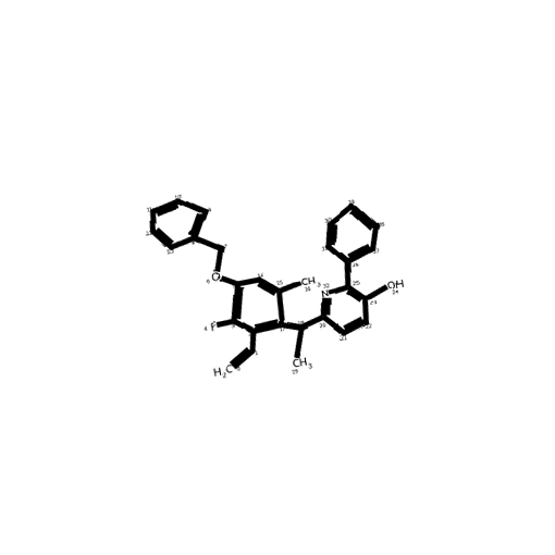 C=Cc1c(F)c(OCc2ccccc2)cc(C)c1C(C)c1ccc(O)c(-c2ccccc2)n1